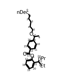 CCCCCCCCCCCCCCCOC(C)c1ccc(C(=O)Oc2ccccc2C(CC)CCC)cc1